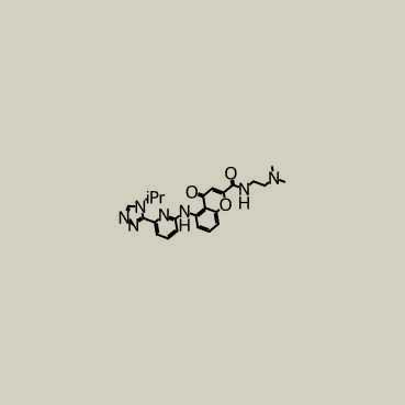 CC(C)n1cnnc1-c1cccc(Nc2cccc3oc(C(=O)NCCN(C)C)cc(=O)c23)n1